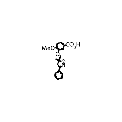 COc1ccc(C(=O)O)cc1OCC1(C)CC(c2ccccc2)=NO1